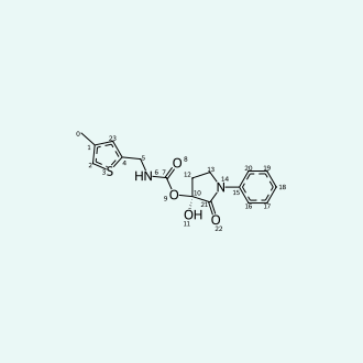 Cc1csc(CNC(=O)O[C@@]2(O)CCN(c3ccccc3)C2=O)c1